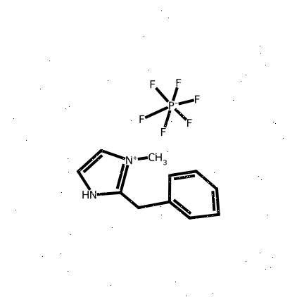 C[n+]1cc[nH]c1Cc1ccccc1.F[P-](F)(F)(F)(F)F